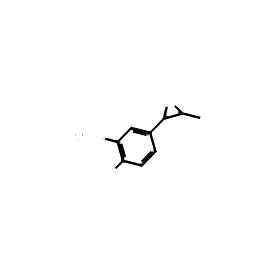 COc1cc(C2OC2C)ccc1O